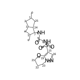 CC1CC2CC(C)C(NC(=O)NS(=O)(=O)c3cnn4c3OCCC4)C2C1